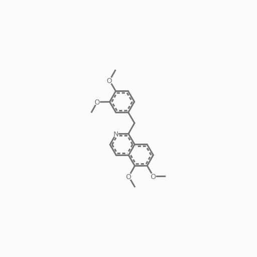 COc1ccc(Cc2nccc3c(OC)c(OC)ccc23)cc1OC